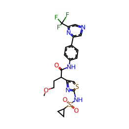 COCCC(C(=O)Nc1ccc(-c2cncc(C(F)(F)F)n2)cc1)c1csc(NS(=O)(=O)C2CC2)n1